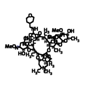 CO/N=C1\C[C@@H](C)O[C@@H](O[C@@H]2[C@@H](C)[C@H](O[C@H]3CC(C)N(C)C[C@H](C)O3)[C@@H](C)C(=O)O[C@H]([C@@H](C)CO[C@@H]3O[C@H](C)[C@@H](O)[C@@H](OC)[C@H]3OC)[C@H](C)[C@@H](OC(=O)CC(C)C)[C@@H](C)C(=O)[C@@](C)(OC(=O)NCC3CCOCC3)C[C@@H]2C)[C@@H]1O